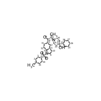 Cc1ccc(S(=O)(=O)n2ccc3cc(C(=O)C(C)N4CCC(O)(c5ccccc5)CC4)ccc32)cc1